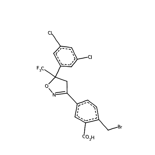 O=C(O)c1cc(C2=NOC(c3cc(Cl)cc(Cl)c3)(C(F)(F)F)C2)ccc1CBr